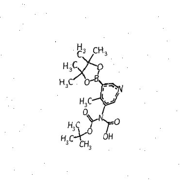 Cc1c(B2OC(C)(C)C(C)(C)O2)cncc1N(C(=O)O)C(=O)OC(C)(C)C